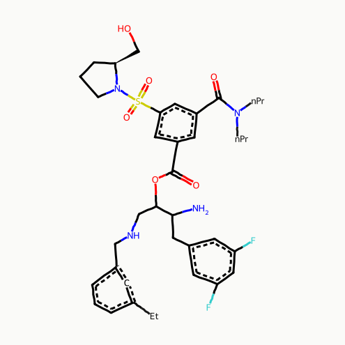 CCCN(CCC)C(=O)c1cc(C(=O)OC(CNCc2cccc(CC)c2)C(N)Cc2cc(F)cc(F)c2)cc(S(=O)(=O)N2CCC[C@H]2CO)c1